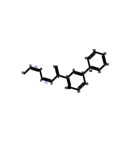 C=C(/C=C\C=C/C)c1cc(-c2ccccc2)ccn1